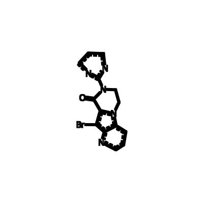 O=C1c2c(Br)c3ncccc3n2CCN1c1ncccn1